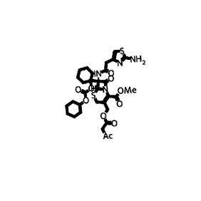 COC(=O)C1=C(COC(=O)CC(C)=O)CS[C@@H]2N1C(=O)[C@]2(NC(=O)Cc1csc(N)n1)C1(OC(=O)OC2CCCCC2)CCCCC1